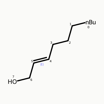 CCCCCCC/C=C/CO